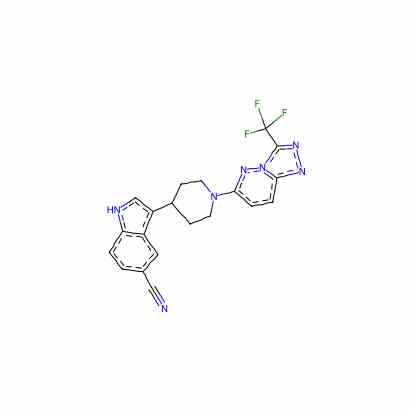 N#Cc1ccc2[nH]cc(C3CCN(c4ccc5nnc(C(F)(F)F)n5n4)CC3)c2c1